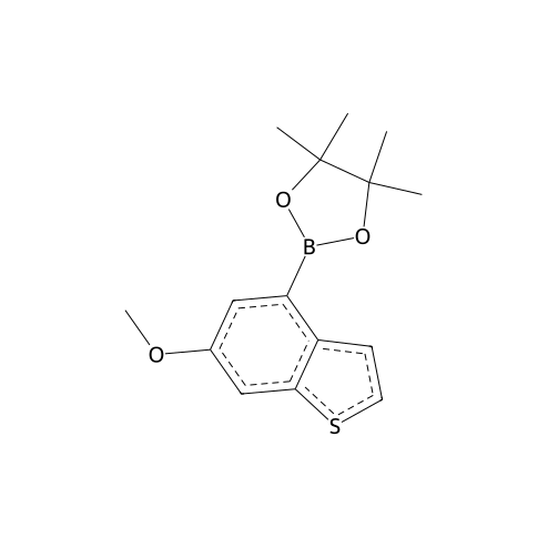 COc1cc(B2OC(C)(C)C(C)(C)O2)c2ccsc2c1